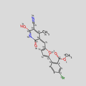 COC(=O)c1cc(Br)ccc1-c1ccc(/C=C2\C(=O)N=C(O)C(C#N)=C2C)o1